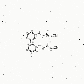 C/C(=C\C#N)CCc1ccccc1.C/C(=C\C#N)CCc1ccccc1